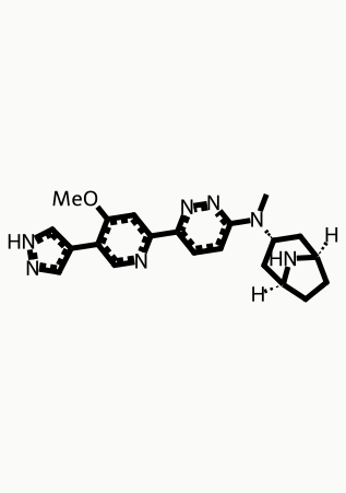 COc1cc(-c2ccc(N(C)[C@@H]3C[C@H]4CC[C@@H](C3)N4)nn2)ncc1-c1cn[nH]c1